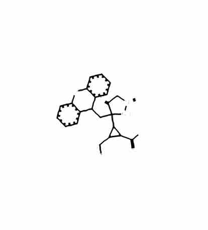 CCC1C(C(=O)O)C1C1(CC2c3ccccc3Oc3ccccc32)N[N+](=O)CC1=O